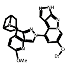 CCOc1cc(-n2ccc(N3CC4CC(C3)N4Cc3ccc(OC)nc3)n2)c2c3cn[nH]c3nn2c1